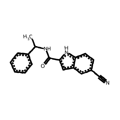 CC(NC(=O)c1cc2cc(C#N)ccc2[nH]1)c1ccccc1